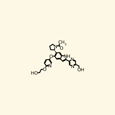 CC(=O)N1CCC[C@@H]1c1cc2[nH]c(-c3cnc(CO)cn3)cc2cc1Oc1ccc(OCCO)nc1